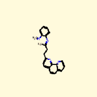 C=Nc1ccccc1/N=C(\C)CCc1ccc2ccc3cccnc3c2n1